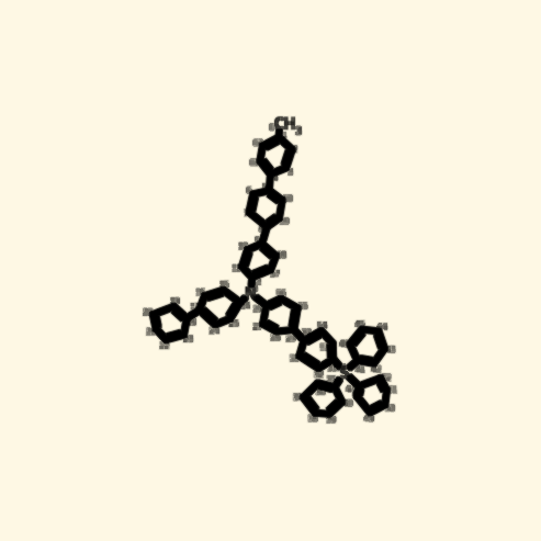 Cc1ccc(-c2ccc(-c3ccc(N(c4ccc(-c5ccccc5)cc4)c4ccc(-c5ccc(S(c6ccccc6)(c6ccccc6)c6ccccc6)cc5)cc4)cc3)cc2)cc1